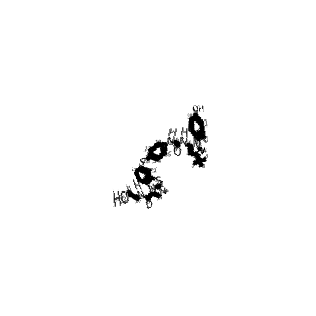 CC(C)(C)c1cc(NC(=O)Nc2ccc(Sc3ccc4c(c3)sc3ncc(C(=O)NCCO)n34)cc2)n(-c2ccc(O)cc2)n1